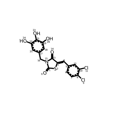 O=C1S/C(=C\c2ccc(Cl)c(Cl)c2)C(=O)N1Cc1cc(O)c(O)c(O)c1